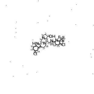 OC1CCN(CC2c3[nH]c4ccc(Cl)cc4c3CCN2CCNc2ccc(Cl)c(C(F)(F)F)n2)C1